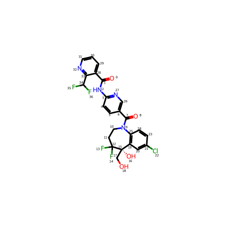 O=C(Nc1ccc(C(=O)N2CCC(F)(F)[C@](O)(CO)c3cc(Cl)ccc32)cn1)c1cccnc1C(F)F